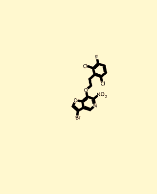 O=[N+]([O-])c1ncc2c(Br)coc2c1OCCc1c(Cl)ccc(F)c1Cl